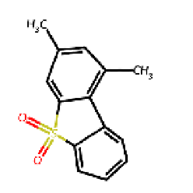 Cc1cc(C)c2c(c1)S(=O)(=O)c1ccccc1-2